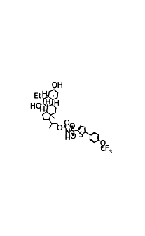 CC[C@H]1[C@@H](O)[C@@H]2[C@H](CC[C@]3(C)[C@@H]([C@H](C)COC(=O)NS(=O)(=O)c4ccc(-c5ccc(OC(F)(F)F)cc5)s4)CC[C@@H]23)[C@@]2(C)CC[C@@H](O)C[C@@H]12